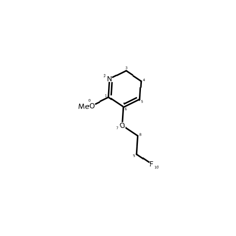 COC1=NCCC=C1OCCF